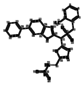 Cc1ccccc1CS(=O)(=O)C(c1nnc(CN[SH](=O)=O)o1)c1nc2ccc(-c3ccccc3)cc2s1